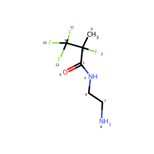 CC(F)(C(=O)NCCN)C(F)(F)F